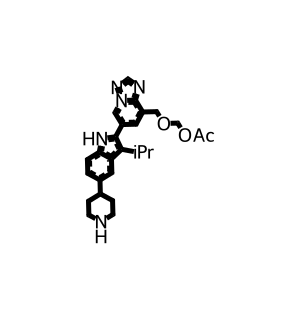 CC(=O)OCOCc1cc(-c2[nH]c3ccc(C4CCNCC4)cc3c2C(C)C)cn2ncnc12